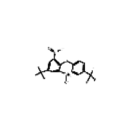 CC(C)(C)c1cc([N+](=O)[O-])c(Oc2ccc(C(F)(F)F)cc2)c([N+](=O)[O-])c1